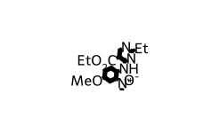 C=[N+]([O-])c1cc(OC)ccc1Nc1nc(CC)ncc1C(=O)OCC